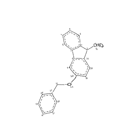 O=CC1c2ccccc2-c2cc(OCc3ccccc3)ccc21